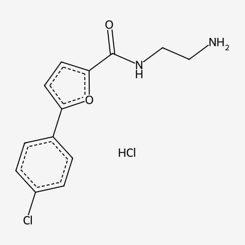 Cl.NCCNC(=O)c1ccc(-c2ccc(Cl)cc2)o1